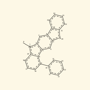 Cn1c2cc3c(cc2c2c(-c4ccccc4)cccc21)sc1ccccc13